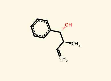 C=C[C@H](C)[C@@H](O)c1ccccc1